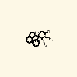 CN1C(Cl)CNC(c2ccccc2)(C2CCc3ccccc32)C1(C)C